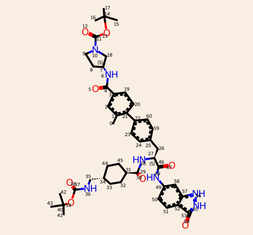 Cc1cc(C(=O)N[C@H]2CCN(C(=O)OC(C)(C)C)C2)ccc1-c1ccc(C[C@H](NC(=O)[C@H]2CC[C@H](CNC(=O)OC(C)(C)C)CC2)C(=O)Nc2ccc3c(=O)[nH][nH]c3c2)cc1